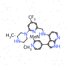 CNc1cc(-c2c[nH]c3nccc(NCc4cc(C(F)(F)F)cc(N5C[C@@H](C)N[C@@H](C)C5)n4)c23)ccn1